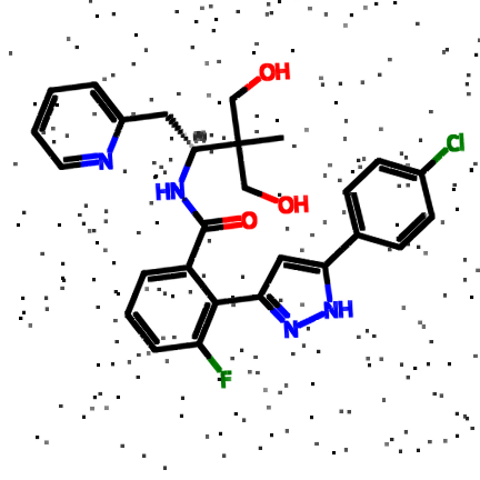 CC(CO)(CO)[C@@H](Cc1ccccn1)NC(=O)c1cccc(F)c1-c1cc(-c2ccc(Cl)cc2)[nH]n1